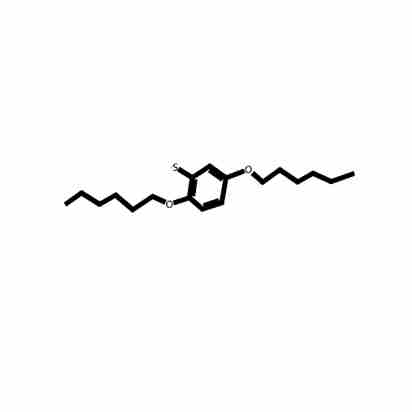 CCCCCCOc1ccc(OCCCCCC)c([S])c1